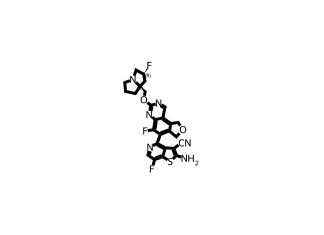 N#Cc1c(N)sc2c(F)cnc(-c3c4c(c5cnc(OC[C@@]67CCCN6C[C@H](F)C7)nc5c3F)COC4)c12